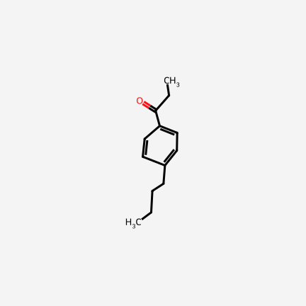 CCCCc1ccc(C(=O)CC)cc1